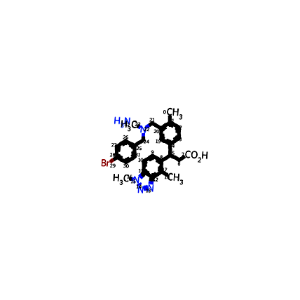 Cc1ccc(C(CC(=O)O)c2ccc3c(nnn3C)c2C)cc1CN(C)Cc1ccc(Br)cc1.N